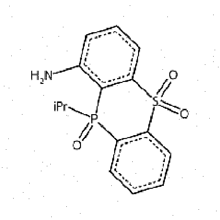 CC(C)P1(=O)c2ccccc2S(=O)(=O)c2cccc(N)c21